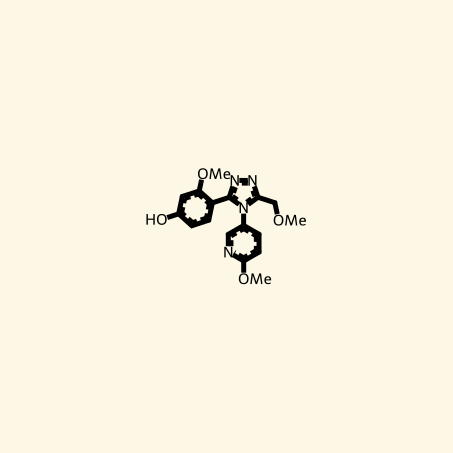 COCc1nnc(-c2ccc(O)cc2OC)n1-c1ccc(OC)nc1